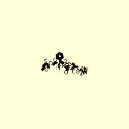 Cc1cc(=S)c(OCC(=O)NC(C(=O)NC2C(=O)N3C(C(=O)O)=C(CSc4nnnn4C)CS[C@@H]23)c2ccccc2)co1